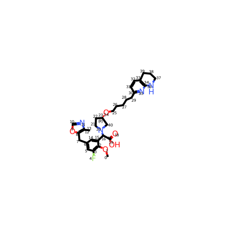 COc1c(F)cc(Cc2ocnc2C)cc1C(C(=O)O)N1CC[C@@H](OCCCCCc2ccc3c(n2)NCCC3)C1